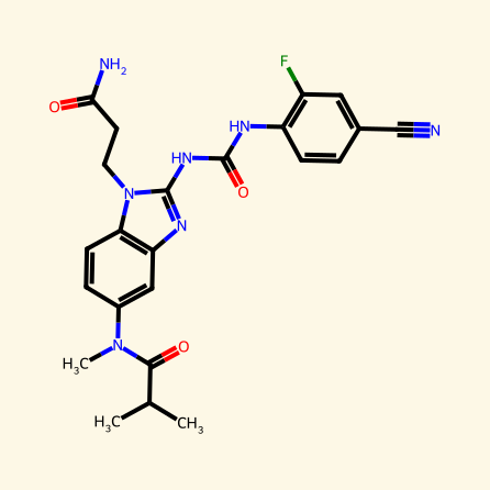 CC(C)C(=O)N(C)c1ccc2c(c1)nc(NC(=O)Nc1ccc(C#N)cc1F)n2CCC(N)=O